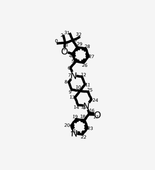 CC1(C)Oc2c(CN3CCC4(CC3)CCN(C(=O)c3ccncc3)CC4)cccc2C1(C)C